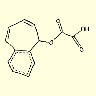 O=C(O)C(=O)OC1C=CC=Cc2ccccc21